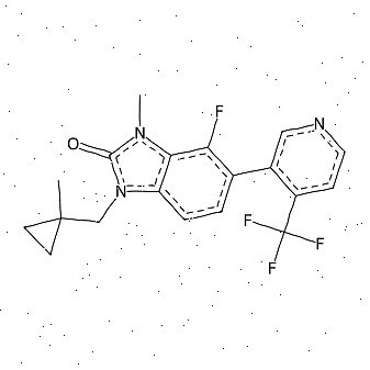 Cn1c(=O)n(CC2(C)CC2)c2ccc(-c3cnccc3C(F)(F)F)c(F)c21